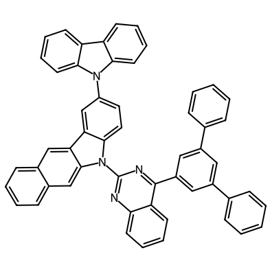 c1ccc(-c2cc(-c3ccccc3)cc(-c3nc(-n4c5ccc(-n6c7ccccc7c7ccccc76)cc5c5cc6ccccc6cc54)nc4ccccc34)c2)cc1